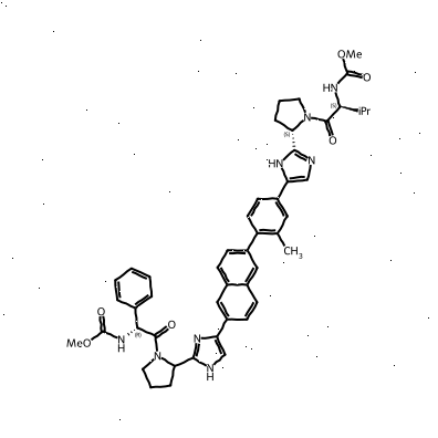 COC(=O)N[C@H](C(=O)N1CCC[C@H]1c1ncc(-c2ccc(-c3ccc4cc(-c5c[nH]c(C6CCCN6C(=O)[C@H](NC(=O)OC)c6ccccc6)n5)ccc4c3)c(C)c2)[nH]1)C(C)C